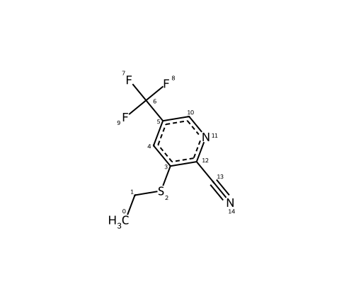 CCSc1cc(C(F)(F)F)cnc1C#N